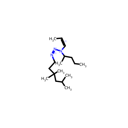 C/C=C\N(/N=N\CCC(C)(C)CC(C)C)C(C)CCC